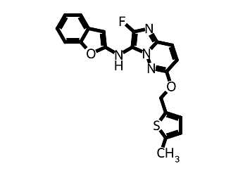 Cc1ccc(COc2ccc3nc(F)c(Nc4cc5ccccc5o4)n3n2)s1